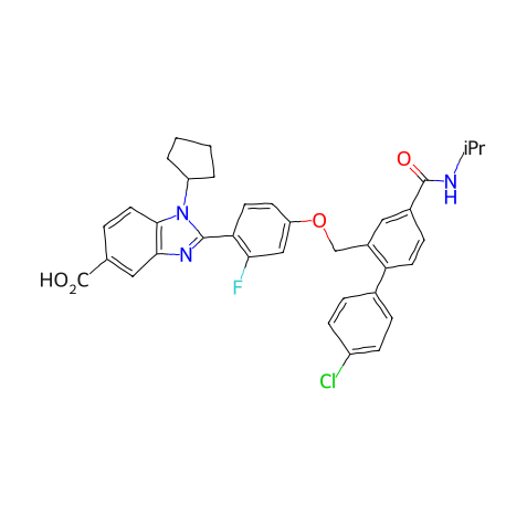 CC(C)NC(=O)c1ccc(-c2ccc(Cl)cc2)c(COc2ccc(-c3nc4cc(C(=O)O)ccc4n3C3CCCC3)c(F)c2)c1